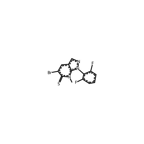 Cn1c(=S)c(Br)cc2cnn(-c3c(F)cccc3F)c21